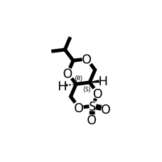 CC(C)C1OC[C@@H]2OS(=O)(=O)OC[C@H]2O1